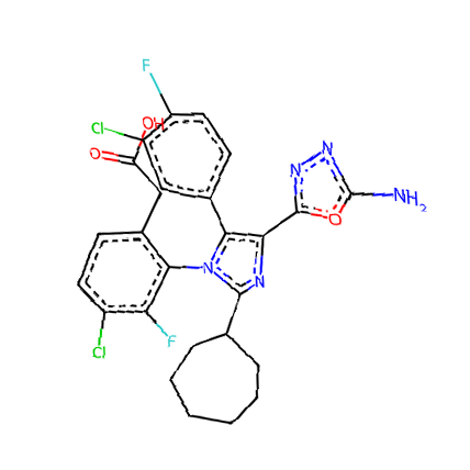 Nc1nnc(-c2nc(C3CCCCCC3)n(-c3c(CC(=O)O)ccc(Cl)c3F)c2-c2ccc(F)c(Cl)c2)o1